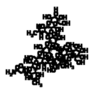 CC(=O)NC1C(O)[C@H](OC2OC(CO)[C@H](O)C(O)C2O)C(CO)O[C@H]1OC1C(O)[C@H](O)C(CO)O[C@@H]1OC1C(O)[C@H](O[C@@H]2C(CO)O[C@@H](O[C@@H]3C(CO)O[C@@H](N[C@H](C=O)CC(N)=O)C(NC(C)=O)C3O)C(NC(C)=O)C2O)OC(CO[C@H]2OC(CO)[C@@H](O)C(O)C2O[C@@H]2OC(CO)[C@@H](O[C@@H]3OC(CO)[C@H](O)C(O)C3O)C(O)C2NC(C)=O)[C@H]1O